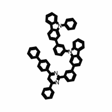 c1ccc(-c2ccc(-c3cc(-c4ccccc4)nc(-c4cccc(-c5ccc6c7ccccc7n(-c7cccc(-c8ccc9c%10ccccc%10n(-c%10ccccc%10)c9c8)c7)c6c5)c4)n3)cc2)cc1